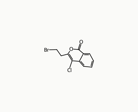 O=c1oc(CCBr)c(Cl)c2ccccc12